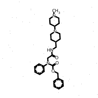 CN1CCC(N2CCC(CNC(=O)CN(C(=O)OCc3ccccc3)c3ccccc3)CC2)CC1